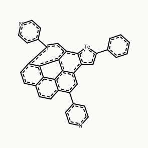 c1ccc(-c2cc3c4cc(-c5ccncc5)c5ccc6ccc7c(-c8ccncc8)cc(c3[te]2)c2c7c6c5c42)cc1